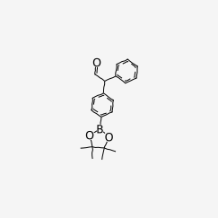 CC1(C)OB(c2ccc(C(C=O)c3ccccc3)cc2)OC1(C)C